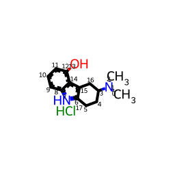 CN(C)C1CCc2[nH]c3cccc(O)c3c2C1.Cl